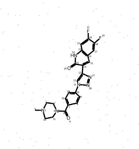 CN1CCN(C(=O)c2ccc(-n3cc(-c4cc5cc(F)c(F)cc5[nH]c4=O)nn3)cc2)CC1